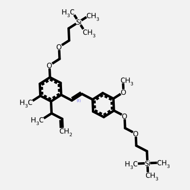 C=CC(C)c1c(C)cc(OCOCC[Si](C)(C)C)cc1/C=C/c1ccc(OCOCC[Si](C)(C)C)c(OC)c1